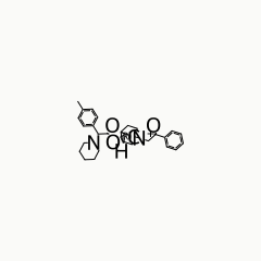 Cc1ccc(C(C(=O)O[C@H]2C[N+]3(CC(=O)c4ccccc4)CCC2CC3)N2CCCCC2)cc1